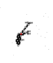 C[C@H]1CC2C3CCC4=CC(=O)C=C[C@]4(C)C3(F)[C@@H](O)C[C@]2(C)[C@@]1(OC(=O)CCCON(O)O)C(=O)COC(=O)COCCOCCON(O)O